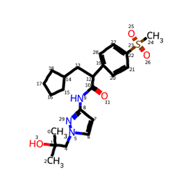 CC(C)(O)Cn1ccc(NC(=O)C(CC2CCCC2)c2ccc(S(C)(=O)=O)cc2)n1